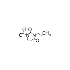 CCCN1C(=O)CCN(C(=O)Cl)C1=O